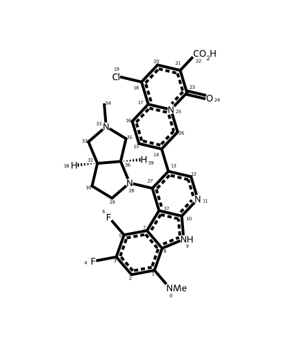 CNc1cc(F)c(F)c2c1[nH]c1ncc(-c3ccc4c(Cl)cc(C(=O)O)c(=O)n4c3)c(N3CC[C@H]4CN(C)C[C@H]43)c12